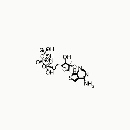 C[C@@]1(O)[C@H](O)[C@@H](COP(=O)(O)OP(=O)(O)OP(=O)(O)O)O[C@H]1c1scc2c(N)ncnc12